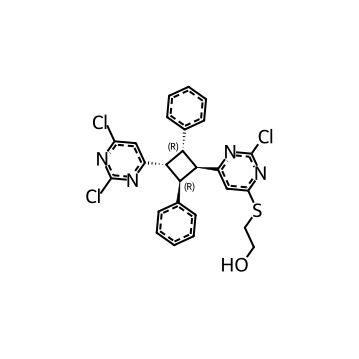 OCCSc1cc([C@H]2[C@@H](c3ccccc3)[C@H](c3cc(Cl)nc(Cl)n3)[C@@H]2c2ccccc2)nc(Cl)n1